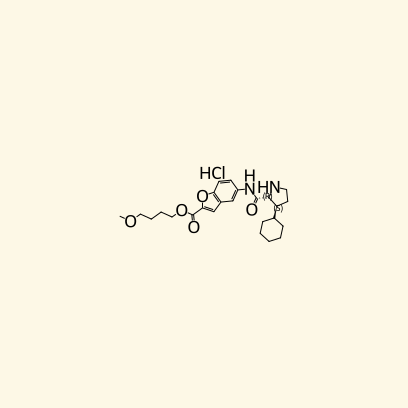 COCCCCOC(=O)c1cc2cc(NC(=O)[C@@H]3NCC[C@H]3C3CCCCC3)ccc2o1.Cl